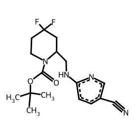 CC(C)(C)OC(=O)N1CCC(F)(F)CC1CNc1ccc(C#N)cn1